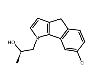 C[C@@H](O)Cn1ccc2c1-c1cc(Cl)ccc1C2